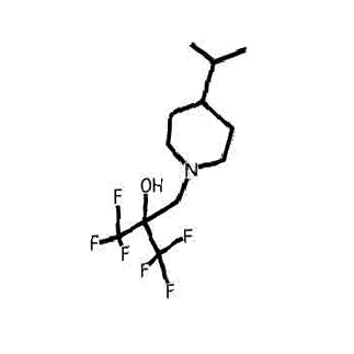 CC(C)C1CCN(CC(O)(C(F)(F)F)C(F)(F)F)CC1